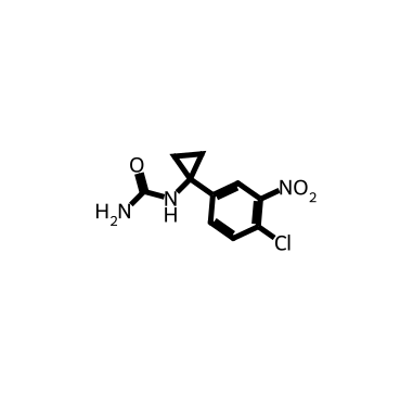 NC(=O)NC1(c2ccc(Cl)c([N+](=O)[O-])c2)CC1